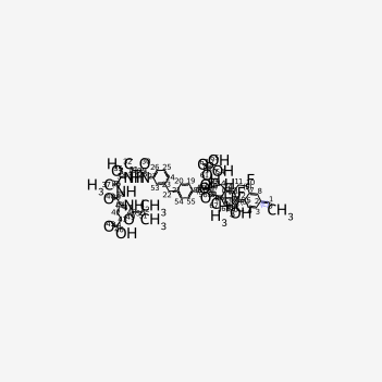 C/C=C1\C=C[C@@]2(C)C(=C1)[C@@H](F)C[C@H]1[C@@H]3C[C@H]4O[C@@H](c5ccc(Cc6cccc(NC(=O)[C@H](C)NC(=O)[C@H](C)NC(=O)[C@H](CCC(=O)O)NC(=O)C(C)C)c6)cc5)O[C@@]4(C(=O)COP(=O)(O)O)[C@@]3(C)C[C@H](O)[C@@]12F